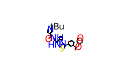 CC(OC1CCOCC1)c1cccc(-c2csc(NC(CNC(=O)c3ccn(C(C)(C)C)c3)=C3CCC3)n2)c1